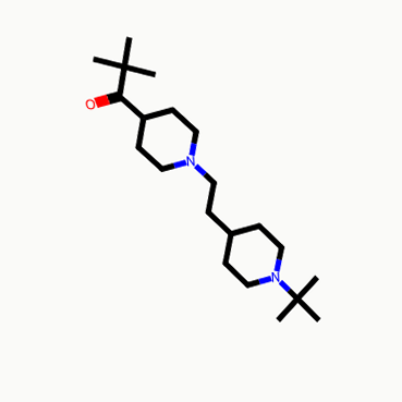 CC(C)(C)C(=O)C1CCN(CCC2CCN(C(C)(C)C)CC2)CC1